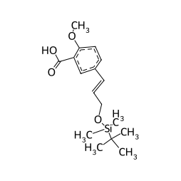 COc1ccc(C=CCO[Si](C)(C)C(C)(C)C)cc1C(=O)O